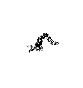 CCOC1(C2C=CC(c3cc4c(N5CCN(C(=O)OC6COC6)CC5)ccnn4c3)=NC2)CCN(C(C)CF)CC1